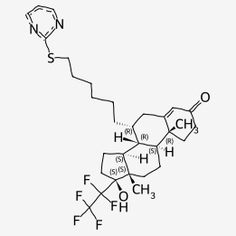 C[C@]12CCC(=O)C=C1C[C@@H](CCCCCCSc1ncccn1)[C@@H]1[C@@H]2CC[C@@]2(C)[C@H]1CC[C@@]2(O)C(F)(F)C(F)(F)F